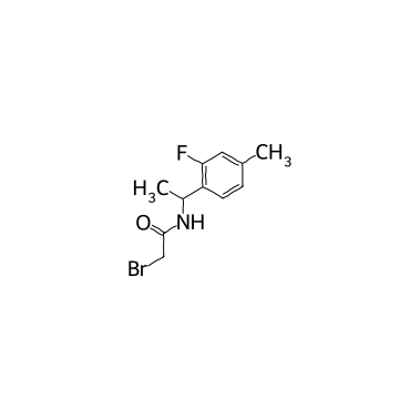 Cc1ccc(C(C)NC(=O)CBr)c(F)c1